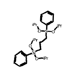 CC(C)O[Si](CCC[Si](OC(C)C)(OC(C)C)c1ccccc1)(OC(C)C)c1ccccc1